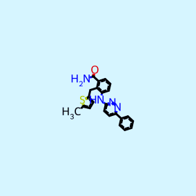 Cc1ccc(Cc2c(Nc3ccc(-c4ccccc4)nn3)cccc2C(N)=O)s1